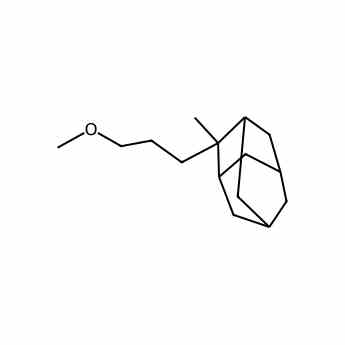 COCCCC1(C)C2CC3CC(C2)CC1C3